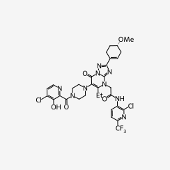 CCc1c(N2CCN(C(=O)c3nccc(Cl)c3O)CC2)c(=O)n2nc(C3=CC[C@@H](OC)CC3)nc2n1CC(=O)Nc1ccc(C(F)(F)F)nc1Cl